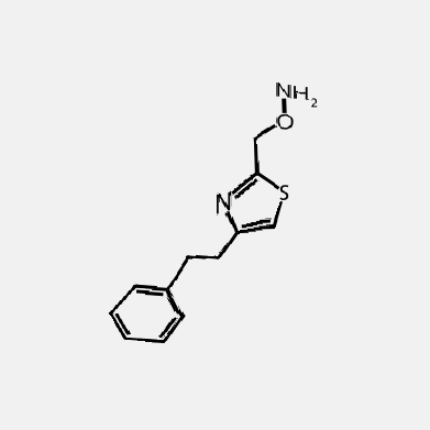 NOCc1nc(CCc2ccccc2)cs1